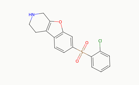 O=S(=O)(c1ccc2c3c(oc2c1)CNCC3)c1ccccc1Cl